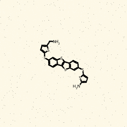 NCc1ccc(Sc2ccc3c(c2)sc2c4ccc(Sc5ccc(N)s5)cc4sc32)s1